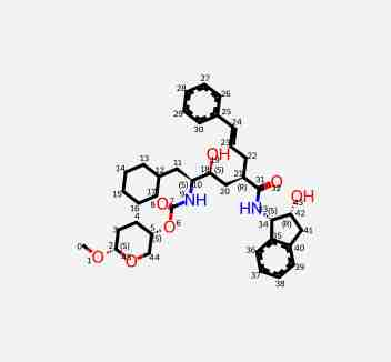 CO[C@@H]1CC[C@H](OC(=O)N[C@@H](CC2CCCCC2)[C@@H](O)C[C@@H](CC=Cc2ccccc2)C(=O)N[C@H]2c3ccccc3C[C@H]2O)CO1